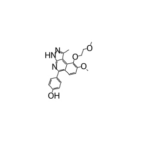 COCCOc1c(OC)ccc2c(-c3ccc(O)cc3)nc3[nH]nc(C)c3c12